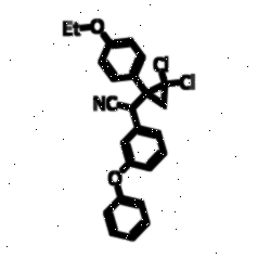 CCOc1ccc(C2(C(C#N)c3cccc(Oc4ccccc4)c3)CC2(Cl)Cl)cc1